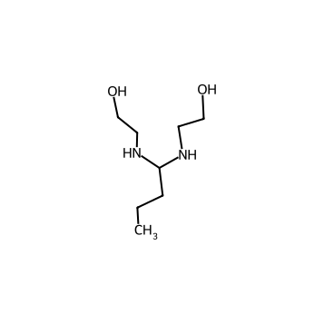 CCCC(NCCO)NCCO